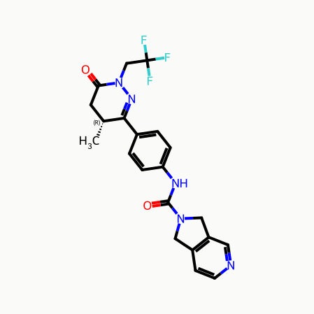 C[C@@H]1CC(=O)N(CC(F)(F)F)N=C1c1ccc(NC(=O)N2Cc3ccncc3C2)cc1